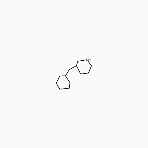 C1CCC(CC2CCCNC2)CC1